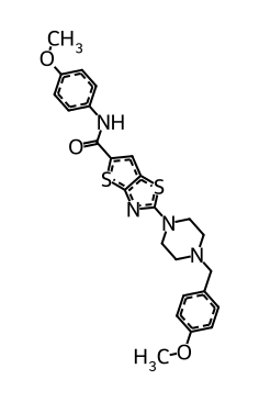 COc1ccc(CN2CCN(c3nc4sc(C(=O)Nc5ccc(OC)cc5)cc4s3)CC2)cc1